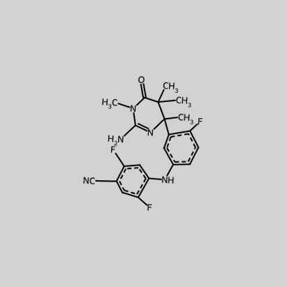 CN1C(=O)C(C)(C)C(C)(c2cc(Nc3cc(F)c(C#N)cc3F)ccc2F)N=C1N